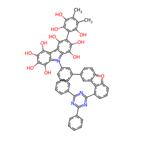 Cc1c(C)c(O)c(-c2c(O)c(O)c3c(c2O)c2c(O)c(O)c(O)c(O)c2n3-c2cccc(-c3ccc4oc5cccc(-c6nc(-c7ccccc7)nc(-c7ccccc7)n6)c5c4c3)c2)c(O)c1O